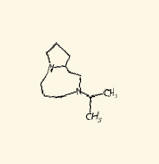 CC(C)N1CCCN2CCCC2C1